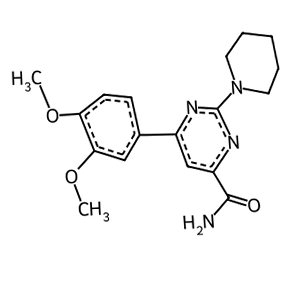 COc1ccc(-c2cc(C(N)=O)nc(N3CCCCC3)n2)cc1OC